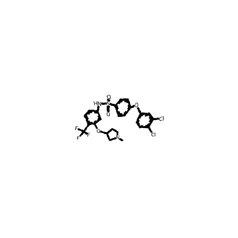 CN1CCC(Oc2cc(NS(=O)(=O)c3ccc(Oc4ccc(Cl)c(Cl)c4)cc3)ccc2C(F)(F)F)C1